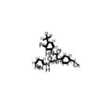 COCc1ccc([C@@H](NC(=O)Nc2cccnn2)C(=O)Nc2ccc(C(C)(C)C)c(F)c2)cc1